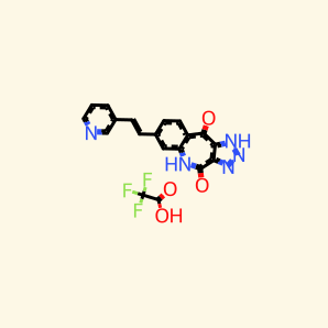 O=C(O)C(F)(F)F.O=c1[nH]c2cc(C=Cc3cccnc3)ccc2c(=O)c2[nH]nnc12